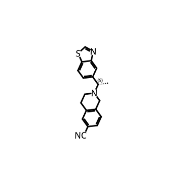 C[C@@H](c1ccc2scnc2c1)N1CCc2cc(C#N)ccc2C1